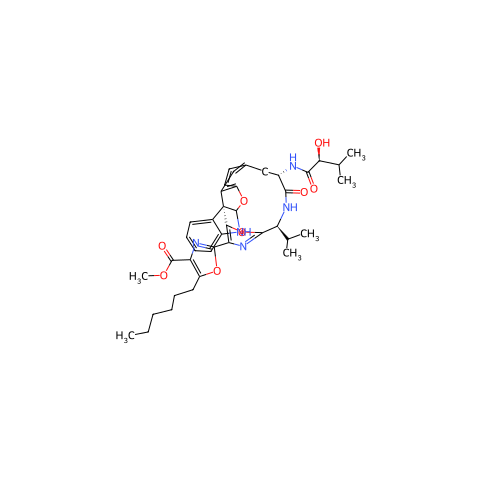 CCCCCCc1oc(-c2nc3oc2[C@@]24c5ccccc5NC2Oc2ccc(cc24)C[C@H](NC(=O)[C@@H](O)C(C)C)C(=O)N[C@H]3C(C)C)nc1C(=O)OC